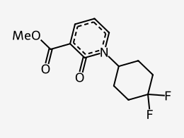 COC(=O)c1cccn(C2CCC(F)(F)CC2)c1=O